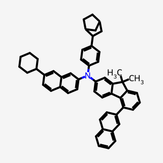 CC1(C)c2cc(N(c3ccc(C4CC5CCC4C5)cc3)c3ccc4ccc(C5CCCCC5)cc4c3)ccc2-c2c(-c3ccc4ccccc4c3)cccc21